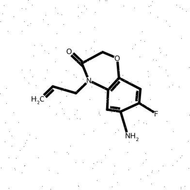 C=CCN1C(=O)COc2cc(F)c(N)cc21